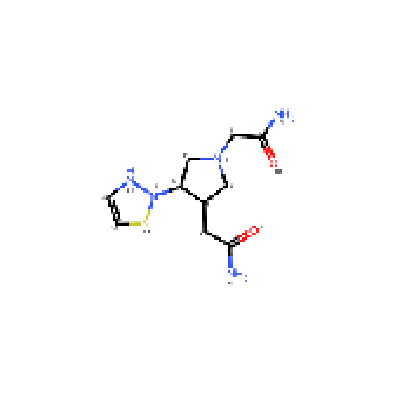 NC(=O)CC1CN(CC(N)=O)CC1N1NC=CS1